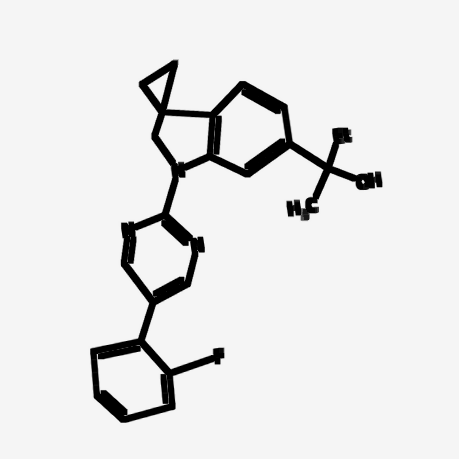 CCC(C)(O)c1ccc2c(c1)N(c1ncc(-c3ccccc3F)cn1)CC21CC1